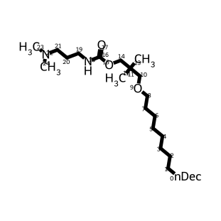 CCCCCCCCCCCCCCCCCCOCC(C)(C)COC(=O)NCCCN(C)C